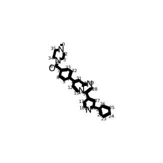 CN1CCN(C(=O)c2ccc(-c3ccn4c(-c5ccnc(-c6ccccc6)c5)cnc4c3)cc2)CC1